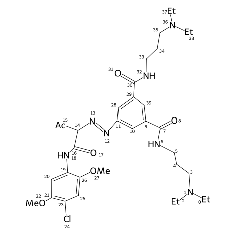 CCN(CC)CCCNC(=O)c1cc(N=NC(C(C)=O)C(=O)Nc2cc(OC)c(Cl)cc2OC)cc(C(=O)NCCCN(CC)CC)c1